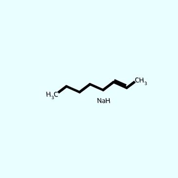 CC=CCCCCC.[NaH]